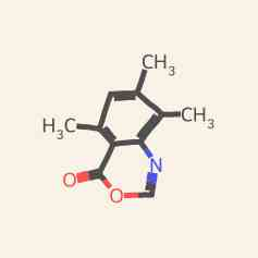 Cc1cc(C)c2c(=O)ocnc2c1C